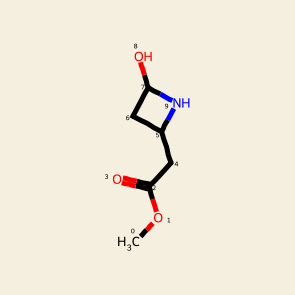 COC(=O)CC1CC(O)N1